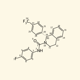 O=C(Nc1ccc(F)cc1)N1CCc2ccccc2[C@H]1c1ccc(C(F)(F)F)cc1